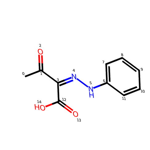 CC(=O)C(=NNc1ccccc1)C(=O)O